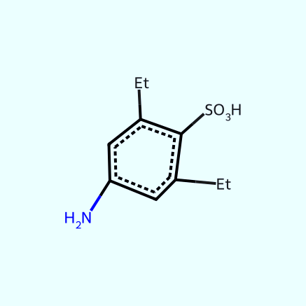 CCc1cc(N)cc(CC)c1S(=O)(=O)O